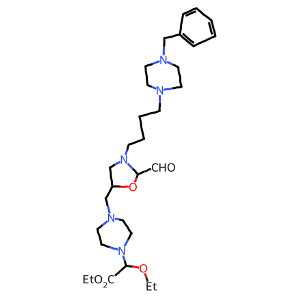 CCOC(=O)C(OCC)N1CCN(CC2CN(CCCCN3CCN(Cc4ccccc4)CC3)C(C=O)O2)CC1